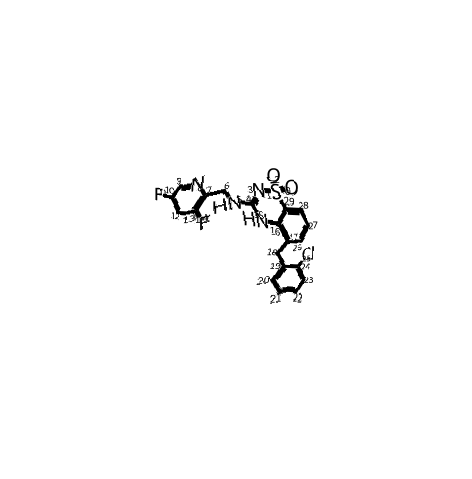 O=S1(=O)N=C(NCc2ncc(F)cc2F)Nc2c(Cc3ccccc3Cl)cccc21